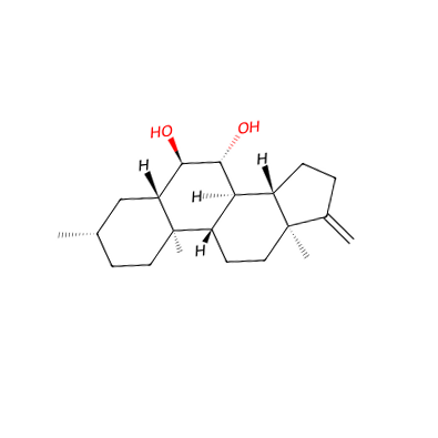 C=C1CC[C@H]2[C@@H]3[C@@H](O)[C@H](O)[C@H]4C[C@@H](C)CC[C@]4(C)[C@H]3CC[C@]12C